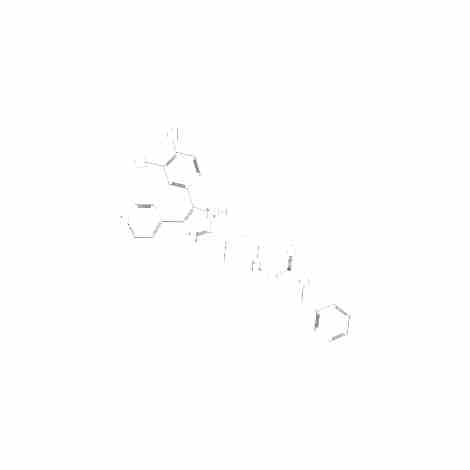 O=C(OCc1ccccc1)ON1CCC(c2nc(-c3ccncc3)c(-c3ccc(Cl)c(Cl)c3)[nH]2)CC1